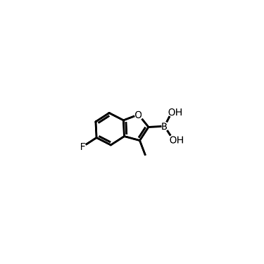 Cc1c(B(O)O)oc2ccc(F)cc12